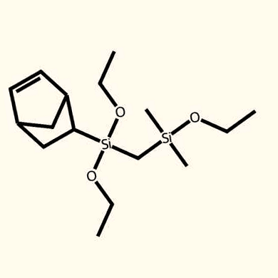 CCO[Si](C)(C)C[Si](OCC)(OCC)C1CC2C=CC1C2